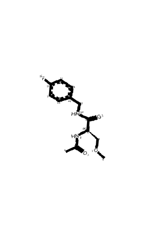 COC[C@@H](NC(C)=O)C(=O)NCc1ccc(F)cc1